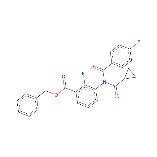 O=C(OCc1ccccc1)c1cccc(N(C(=O)c2ccc(F)cc2)C(=O)C2CC2)c1F